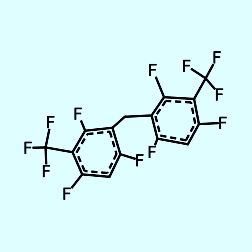 Fc1cc(F)c(C(F)(F)F)c(F)c1Cc1c(F)cc(F)c(C(F)(F)F)c1F